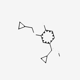 Fc1ccc([C@H](NCl)C2CC2)cc1OCC1CC1